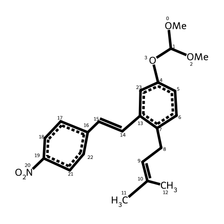 COC(OC)Oc1ccc(CC=C(C)C)c(C=Cc2ccc([N+](=O)[O-])cc2)c1